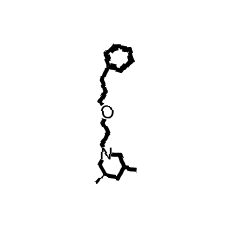 CC1C[C@@H](C)CN(CCCOCCCc2ccccc2)C1